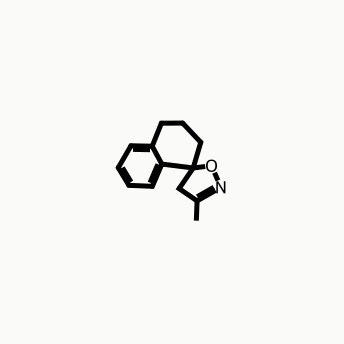 CC1=NOC2(CCCc3ccccc32)C1